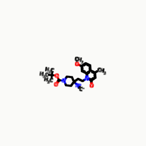 [C-]#[N+]C1(CCn2c(=O)cc(C)c3ccc(OC)cc32)CCN(C(=O)OC(C)(C)C)CC1